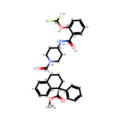 COC(=O)[C@]1(c2ccccc2)CC[C@@H](C(=O)N2CCC(NC(=O)c3ccccc3OC(F)F)CC2)c2ccccc21